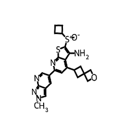 Cn1cc2cc(-c3cc(C4CC5(COC5)C4)c4c(N)c([S+]([O-])C5CCC5)sc4n3)cnc2n1